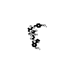 C=C1C[S+]([O-])[C@H]2C(NC(=O)CC(=O)OCc3ccc([N+](=O)[O-])cc3-c3cccs3)C(=O)N2C1C(=O)OCc1ccc([N+](=O)[O-])cc1